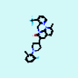 Cc1ccc2cc(C3CCN(c4c(C)cccc4F)CC3)c(=O)n(Cc3ncccc3C(F)(F)F)c2n1